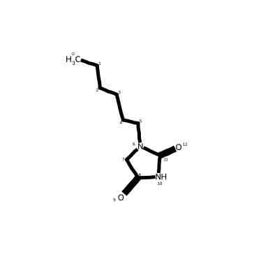 CCCCCCN1CC(=O)NC1=O